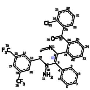 C=N/C(=C(/c1ccccc1)N(N)Cc1cc(C(F)(F)F)cc(C(F)(F)F)c1)c1ccccc1C(=O)c1ccccc1Cl